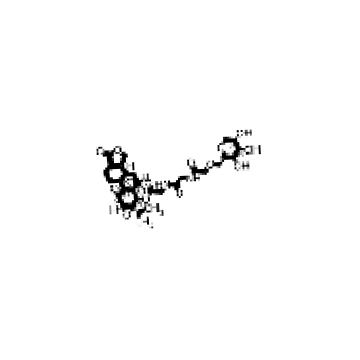 CC(C)[C@]12O[C@H]1[C@@H]1O[C@]13[C@]1(O[C@H]1C[C@H]1C4=C(CC[C@@]13C)C(=O)OC4)[C@@H]2OC(=O)CNC(=O)CNC(=O)COC[C@H]1OC[C@H](O)[C@@H](O)[C@@H]1O